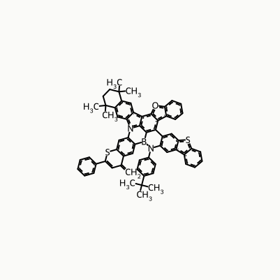 C=C1C=C(c2ccccc2)Sc2cc3c(cc21)B1c2c(c4c5ccccc5oc4c4c5cc6c(cc5n-3c24)C(C)(C)CCC6(C)C)-c2cc3sc4ccccc4c3cc2N1c1ccc(C(C)(C)C)cc1